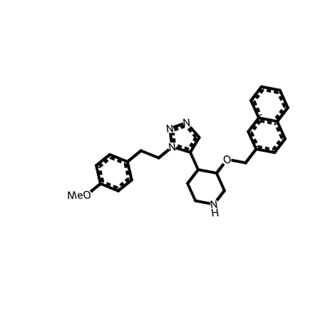 COc1ccc(CCn2nncc2C2CCNCC2OCc2ccc3ccccc3c2)cc1